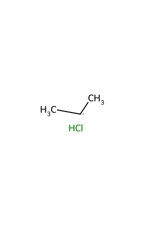 C[CH]C.Cl